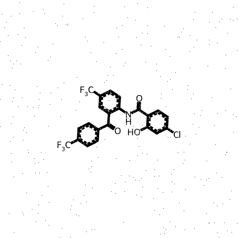 O=C(Nc1ccc(C(F)(F)F)cc1C(=O)c1ccc(C(F)(F)F)cc1)c1ccc(Cl)cc1O